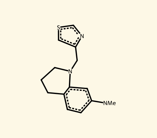 CNc1ccc2c(c1)N(Cc1cscn1)CCC2